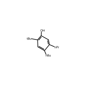 CCCCc1cc(C(C)(C)C)c(O)cc1CCC